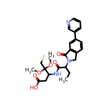 CCC(C(=O)NC(CC(=O)O)C(CF)(OC)OC)N1Cc2ccc(-c3cccnc3)cc2C1=O